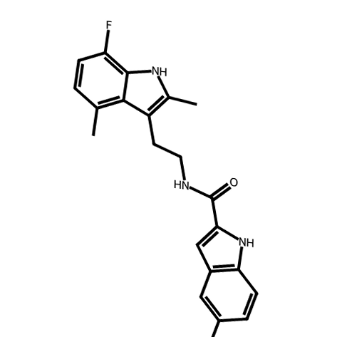 Cc1[nH]c2c(F)ccc(C)c2c1CCNC(=O)c1cc2cc(C(F)(F)F)ccc2[nH]1